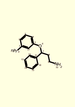 CCCc1cccc(OC(CCN)c2ccccc2)c1